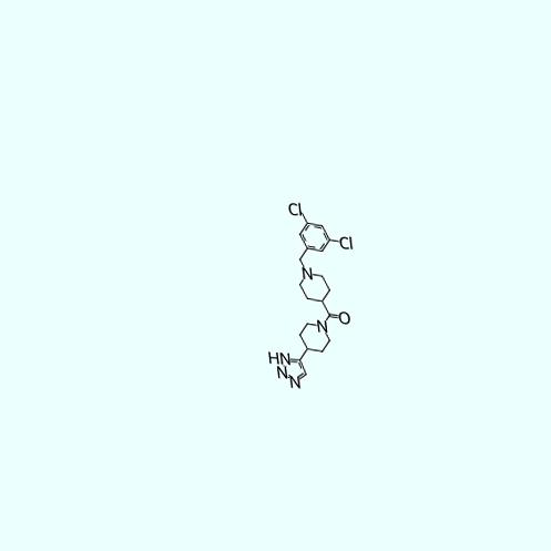 O=C(C1CCN(Cc2cc(Cl)cc(Cl)c2)CC1)N1CCC(c2cnn[nH]2)CC1